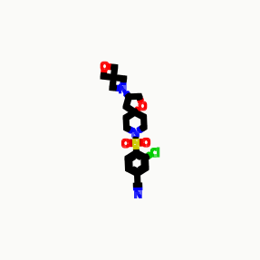 N#Cc1ccc(S(=O)(=O)N2CCC3(CC2)CC(N2CC4(COC4)C2)CO3)c(Cl)c1